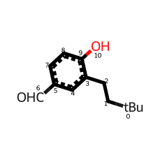 CC(C)(C)CCc1cc(C=O)ccc1O